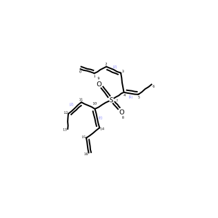 C=C/C=C\C(=C/C)S(=O)(=O)C(/C=C\C)=C/C=C